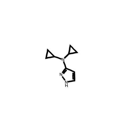 c1cc(N(C2CC2)C2CC2)n[nH]1